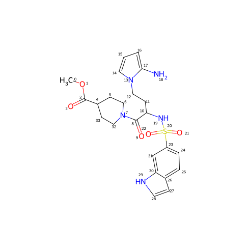 COC(=O)C1CCN(C(=O)C(CCn2cccc2N)NS(=O)(=O)c2ccc3cc[nH]c3c2)CC1